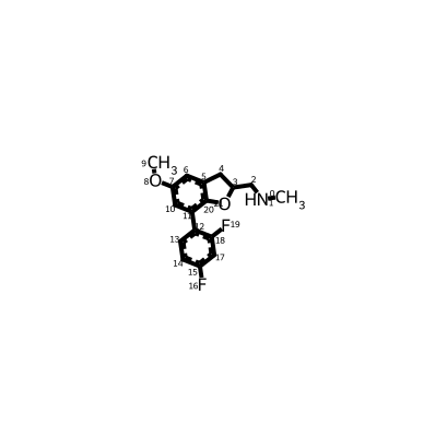 CNCC1Cc2cc(OC)cc(-c3ccc(F)cc3F)c2O1